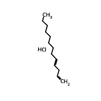 C=CCC=CCCCCCCCC.Cl